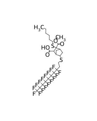 CCCCCCSC1(C(=O)OC)C2CC(SCCC(F)(F)C(F)(F)C(F)(F)C(F)(F)C(F)(F)C(F)(F)C(F)(F)C(F)(F)F)C(C2)C1C(=O)O